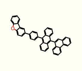 c1ccc2c(c1)cc(-c1c3ccccc3c(-c3ccc(-c4ccc5oc6ccccc6c5c4)cc3)c3ccccc13)c1ccccc12